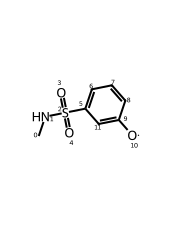 CNS(=O)(=O)c1cccc([O])c1